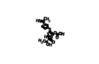 CC(=N)N1CC[C@H](SC2=C(OC(=O)O)N3C(=O)[C@H](C(C)O)[C@H]3S2)C1